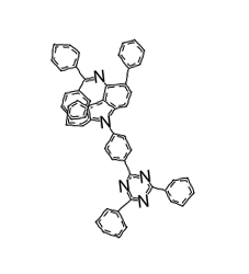 c1ccc(C(=Nc2c(-c3ccccc3)ccc3c2c2ccccc2n3-c2ccc(-c3nc(-c4ccccc4)nc(-c4ccccc4)n3)cc2)c2ccccc2)cc1